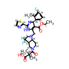 CCOC(=O)C1=C(CN2CC(F)(F)C3CN(C(=O)C(C)(C)C(=O)O)CCC32)NC(c2nccs2)=N[C@H]1c1cccc(F)c1C